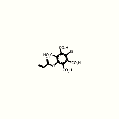 C=CC(=O)Oc1c(C(=O)O)c(C(=O)O)c(CC)c(C(=O)O)c1C(=O)O